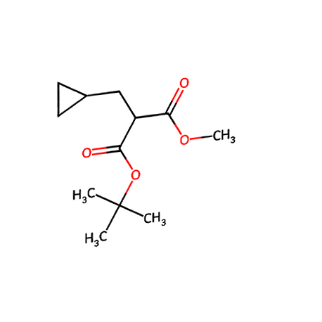 COC(=O)C(CC1CC1)C(=O)OC(C)(C)C